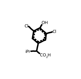 CC(C)C(C(=O)O)c1cc(Cl)c(O)c(Cl)c1